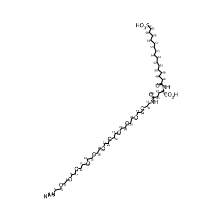 [N-]=[N+]=NCCOCCOCCOCCOCCOCCOCCOCCOCCOCCOCCOCCNC(=O)CC[C@H](NC(=O)CCCCCCCCCCCCCCCS(=O)(=O)O)C(=O)O